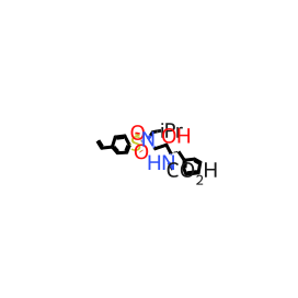 C=Cc1ccc(S(=O)(=O)N(CC(C)C)C[C@H](O)[C@H](Cc2ccccc2)NC(=O)O)cc1